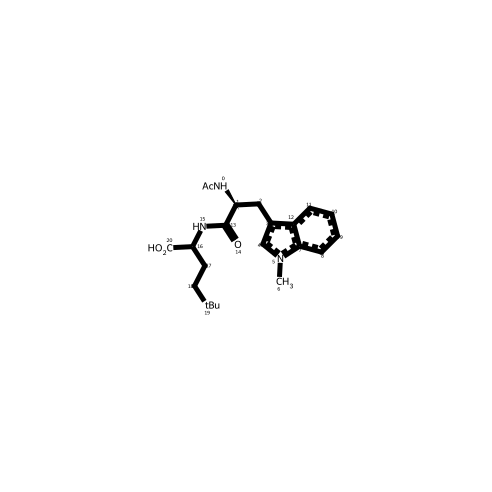 CC(=O)N[C@@H](Cc1cn(C)c2ccccc12)C(=O)NC(CCC(C)(C)C)C(=O)O